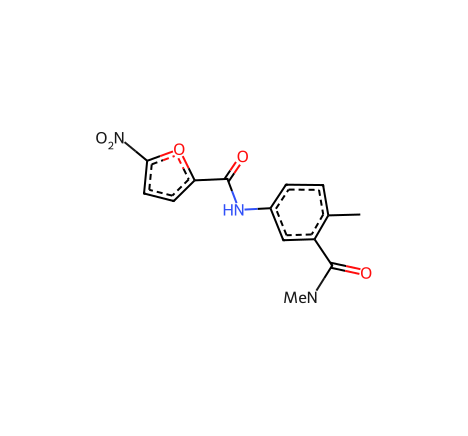 CNC(=O)c1cc(NC(=O)c2ccc([N+](=O)[O-])o2)ccc1C